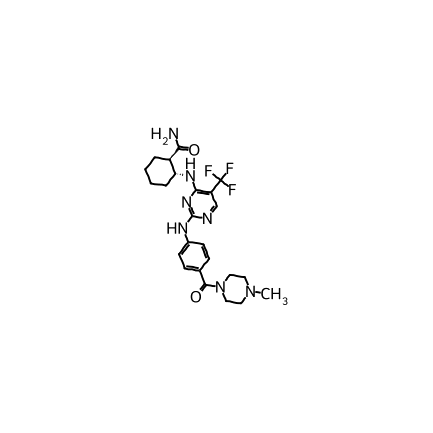 CN1CCN(C(=O)c2ccc(Nc3ncc(C(F)(F)F)c(N[C@@H]4CCCC[C@H]4C(N)=O)n3)cc2)CC1